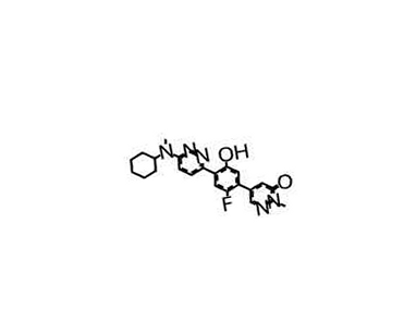 CN(c1ccc(-c2cc(F)c(-c3cnn(C)c(=O)c3)cc2O)nn1)C1CCCCC1